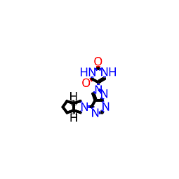 O=c1[nH]cc(-n2cc3c(N4C[C@H]5CCC[C@H]5C4)ncnc3n2)c(=O)[nH]1